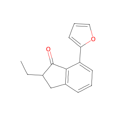 CCC1Cc2cccc(-c3ccco3)c2C1=O